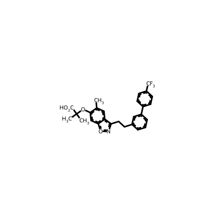 Cc1cc2c(CCc3cccc(-c4ccc(C(F)(F)F)cc4)c3)noc2cc1OC(C)(C)C(=O)O